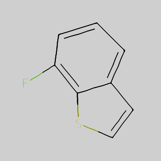 Fc1cccc2[c]csc12